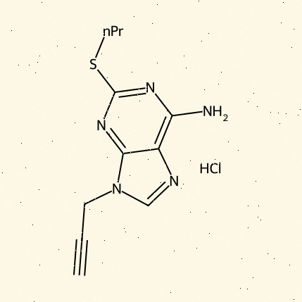 C#CCn1cnc2c(N)nc(SCCC)nc21.Cl